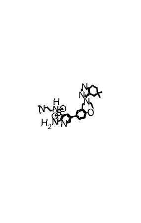 CN(C)CCNS(=O)(=O)c1cc(-c2ccc3c(c2)CN(c2ncnc4c2CC(C)(C)CC4)CCO3)cnc1N